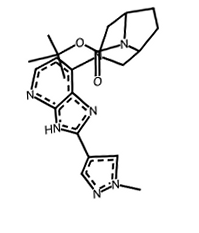 Cn1cc(-c2nc3c(N4CC5CCC(C4)N5C(=O)OC(C)(C)C)ccnc3[nH]2)cn1